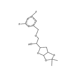 CC1(C)OC2CC(C(O)COCc3cc(F)cc(F)c3)OC2O1